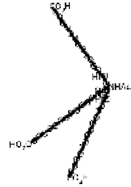 CC(=O)NC(COCCC(=O)NCCOCCOCCOCCOCCOCCOCCOCCOCCOCCOCCOCCOCCC(=O)O)(COCCC(=O)NCCOCCOCCOCCOCCOCCOCCOCCOCCOCCOCCOCCOCCC(=O)O)COCCC(=O)NCCOCCOCCOCCOCCOCCOCCOCCOCCOCCOCCOCCOCCC(=O)O